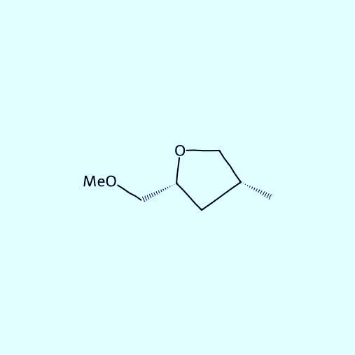 COC[C@H]1C[C@@H](C)CO1